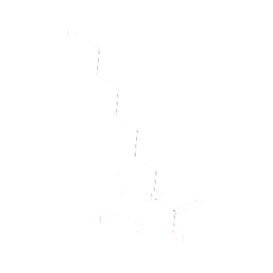 CCCCCCCCN(C(=O)O)S(=O)(=O)O